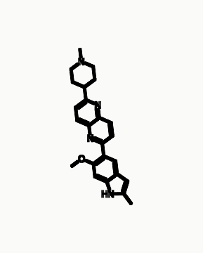 COc1cc2[nH]c(C)cc2cc1-c1ccc2nc(C3CCN(C)CC3)ccc2n1